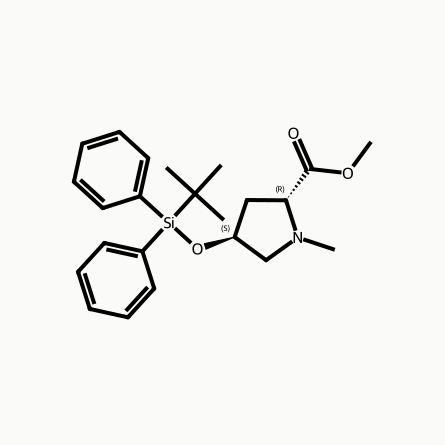 COC(=O)[C@H]1C[C@H](O[Si](c2ccccc2)(c2ccccc2)C(C)(C)C)CN1C